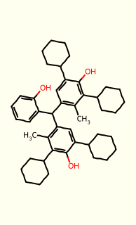 Cc1c(C(c2ccccc2O)c2cc(C3CCCCC3)c(O)c(C3CCCCC3)c2C)cc(C2CCCCC2)c(O)c1C1CCCCC1